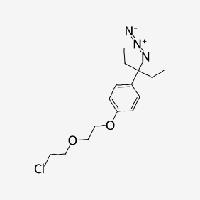 CCC(CC)(N=[N+]=[N-])c1ccc(OCCOCCCl)cc1